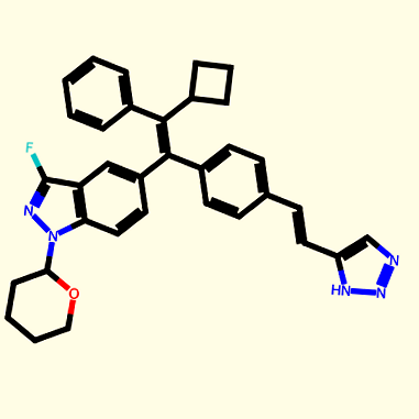 Fc1nn(C2CCCCO2)c2ccc(C(=C(c3ccccc3)C3CCC3)c3ccc(C=Cc4cnn[nH]4)cc3)cc12